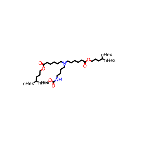 CCCCCCC(CCCCCC)CCCOC(=O)CCCCCN(CCCCCC(=O)OCCCC(CCCCCC)CCCCCC)CCCCNC(=O)OC(C)(C)C